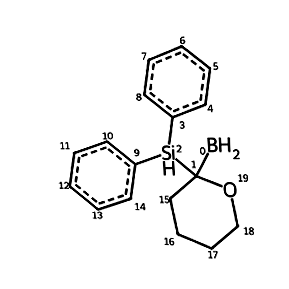 BC1([SiH](c2ccccc2)c2ccccc2)CCCCO1